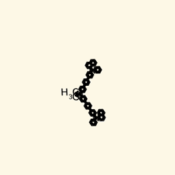 CC(=O)N(c1ccc(-c2ccc(-c3ccc(N(c4ccccc4)c4cccc5ccccc45)cc3)cc2)cc1)c1ccc(-c2ccc(-c3ccc(N(c4ccccc4)c4cccc5ccccc45)cc3)cc2)cc1